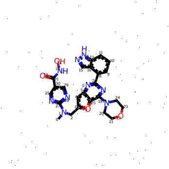 CN(Cc1cc2nc(-c3cccc4[nH]ncc34)nc(N3CCOCC3)c2o1)c1ncc(C(=O)NO)cn1